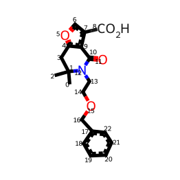 CC1(C)Cc2occ(C(=O)O)c2C(=O)N1CCOCc1ccccc1